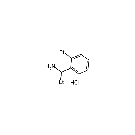 CCc1ccccc1C(N)CC.Cl